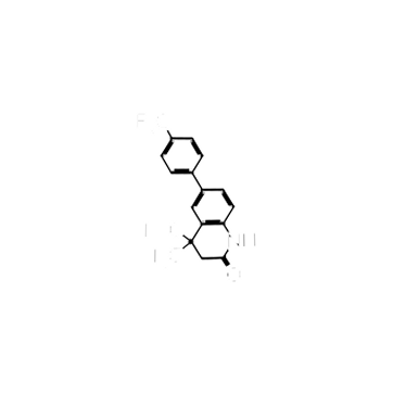 CC1(C)[C]C(=O)Nc2ccc(-c3ccc(C(F)(F)F)cc3)cc21